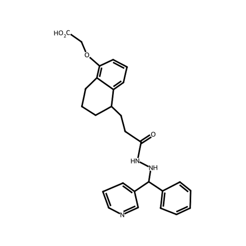 O=C(O)COc1cccc2c1CCCC2CCC(=O)NNC(c1ccccc1)c1cccnc1